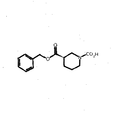 O=C(OCc1ccccc1)[C@@H]1CCCN(C(=O)O)C1